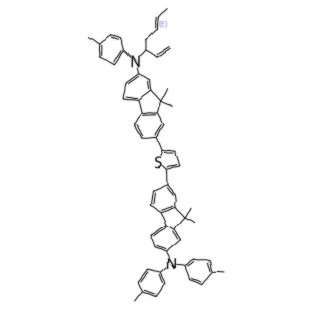 C=CC(C/C=C/C)N(c1ccc(C)cc1)c1ccc2c(c1)C(C)(C)c1cc(-c3ccc(-c4ccc5c(c4)C(C)(C)c4cc(N(c6ccc(C)cc6)c6ccc(C)cc6)ccc4-5)s3)ccc1-2